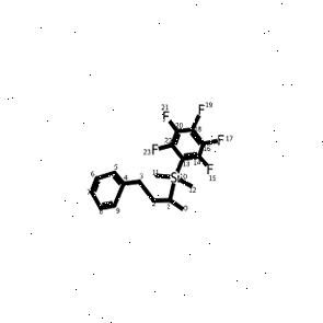 CC(CCc1ccccc1)[Si](C)(C)c1c(F)c(F)c(F)c(F)c1F